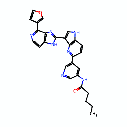 CCCCC(=O)Nc1cncc(-c2ccc3[nH]cc(-c4nc5c(-c6ccoc6)nccc5[nH]4)c3n2)c1